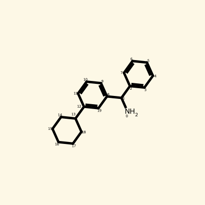 NC(c1ccccc1)c1cccc(C2CCCCC2)c1